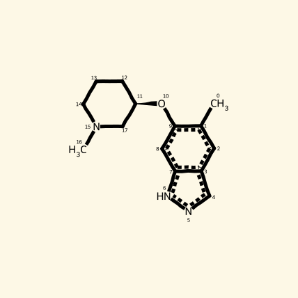 Cc1cc2cn[nH]c2cc1O[C@@H]1CCCN(C)C1